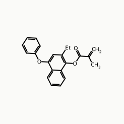 C=C(C)C(=O)Oc1c(CC)cc(Oc2ccccc2)c2ccccc12